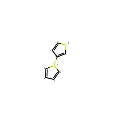 C1=C[SH](c2ccsc2)C=C1